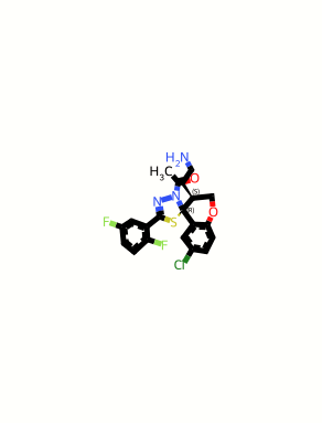 CC(=O)N1N=C(c2cc(F)ccc2F)S[C@]12c1cc(Cl)ccc1OC[C@@H]2CCN